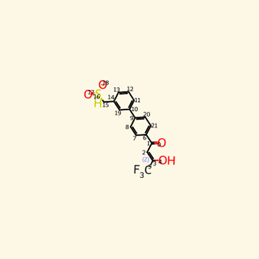 O=C(/C=C(\O)C(F)(F)F)c1ccc(-c2cccc(C[SH](=O)=O)c2)cc1